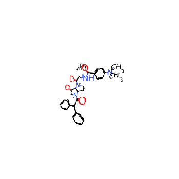 CC(C)C[C@H](NC(=O)c1ccc(N(C)C)cc1)C(=O)N1CCC2C1C(=O)CN2C(=O)C(c1ccccc1)c1ccccc1